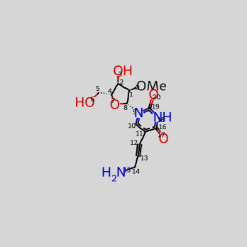 CO[C@@H]1[C@H](O)[C@@H](CO)O[C@H]1n1cc(C#CCN)c(=O)[nH]c1=O